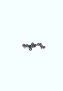 CC1(C)c2ccccc2-c2cc3c(cc21)-c1cc(-c2ccc4oc5c(C6C=C(c7ccc8c(c7)oc7ccccc78)N=C(c7ccccc7)N6)cccc5c4c2)ccc1C3(C)C